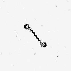 c1cnc(SSCCCCCCCCSSc2ncccn2)nc1